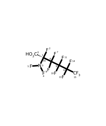 O=C(O)[C@@](F)(N(F)F)C(F)(F)C(F)(F)C(F)(F)C(F)(F)F